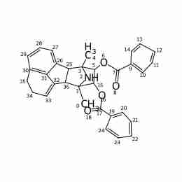 CC12NC(C)(C(OC(=O)c3ccccc3)C1OC(=O)c1ccccc1)C1c3cccc4c3C(=CCC4)C12